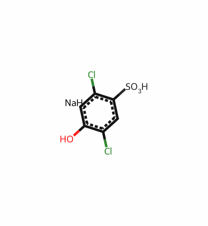 O=S(=O)(O)c1cc(Cl)c(O)cc1Cl.[NaH]